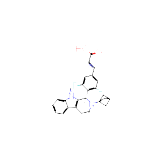 C[C@@H]1Cc2c(n(C)c3ccccc23)[C@@H](c2c(F)cc(/C=C/C(=O)O)cc2F)N1C12CC(C1)C2